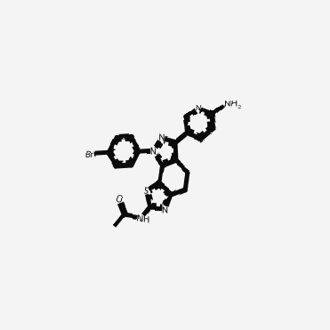 CC(=O)Nc1nc2c(s1)-c1c(c(-c3ccc(N)nc3)nn1-c1ccc(Br)cc1)CC2